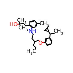 CCCC(CCNc1cc(C)ccc1CCC(C)(C)O)COc1cccc(C(CC)C2CC2)c1